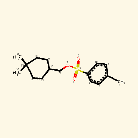 Cc1ccc(S(=O)(=O)OCC2CCC(C)(C)CC2)cc1